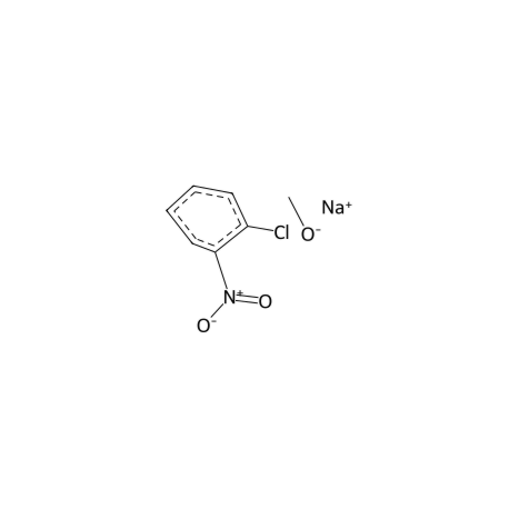 C[O-].O=[N+]([O-])c1ccccc1Cl.[Na+]